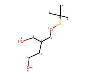 CC(C)(C)SOCC(CO)CCO